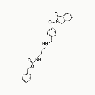 O=C(NCCCCNCc1ccc(C(=O)N2Cc3ccccc3C2=O)cc1)OCc1ccccc1